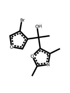 Cc1nc(C)c(C(C)(O)c2cocc2Br)o1